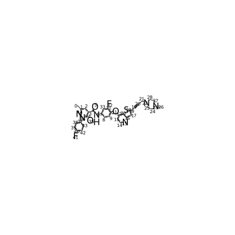 Cc1cc(C(=O)Nc2ccc(Oc3ccnc4cc(C#CCN5CCN(C)CC5)sc34)c(F)c2)c(=O)n(-c2ccc(F)cc2)n1